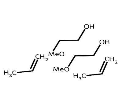 C=CC.C=CC.COCCO.COCCO